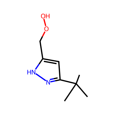 CC(C)(C)c1cc(COO)[nH]n1